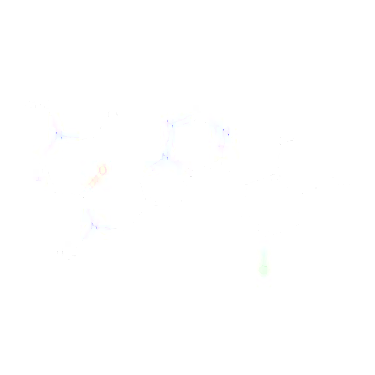 Cc1cc(Cl)cc(-c2ncnn3cc(CN(C)C(=O)/C=C\N(C=O)CC(F)(F)F)cc23)c1C